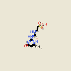 Cc1cc(=O)nc(NC(=O)NCCS(=O)(=O)O)[nH]1